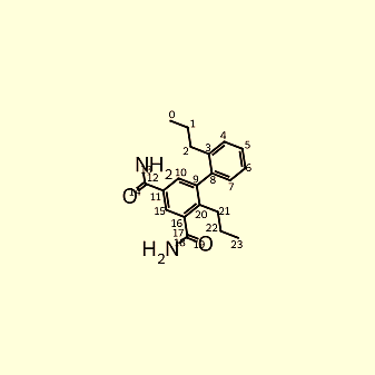 CCCc1ccccc1-c1cc(C(N)=O)cc(C(N)=O)c1CCC